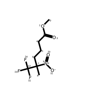 COC(=O)CCCC(C)([N+](=O)[O-])C(F)(F)F